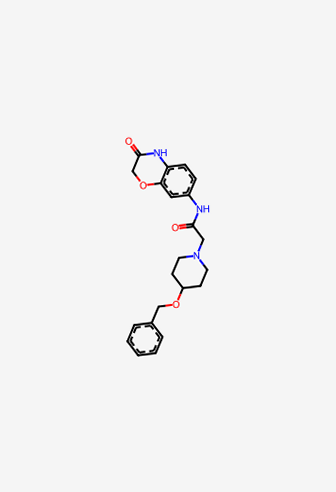 O=C(CN1CCC(OCc2ccccc2)CC1)Nc1ccc2c(c1)OCC(=O)N2